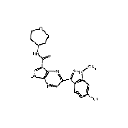 Cn1nc(-c2cnc3[nH]cc(C(=O)NC4CCOCC4)c3n2)c2ccc(Cl)cc21